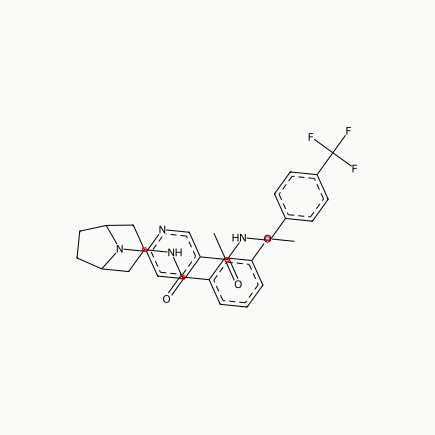 COc1cccc(C(=O)NC2CC3CCC(C2)N3c2ccc(C(=O)NCc3ccc(C(F)(F)F)cc3)cn2)c1C